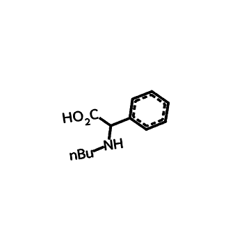 CCCCNC(C(=O)O)c1ccccc1